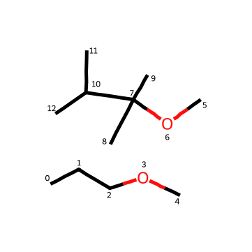 CCCOC.COC(C)(C)C(C)C